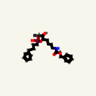 COC(=O)C(CCCCNC(=O)OCc1ccccc1)OP(=O)(O)CCCCc1ccccc1